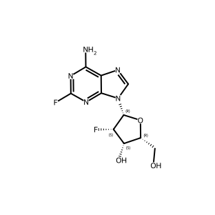 Nc1nc(F)nc2c1ncn2[C@@H]1O[C@H](CO)[C@H](O)[C@@H]1F